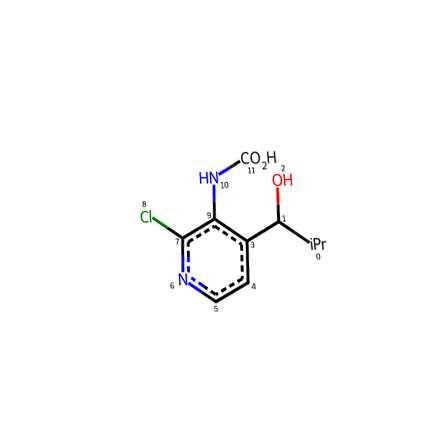 CC(C)C(O)c1ccnc(Cl)c1NC(=O)O